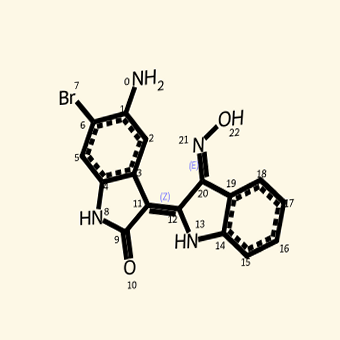 Nc1cc2c(cc1Br)NC(=O)/C2=C1\Nc2ccccc2\C1=N/O